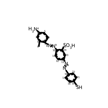 Cc1cc(N)ccc1N=Nc1ccc(N=Nc2ccc(S)cc2)cc1S(=O)(=O)O